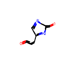 O=CC1=NC(=O)N=C1